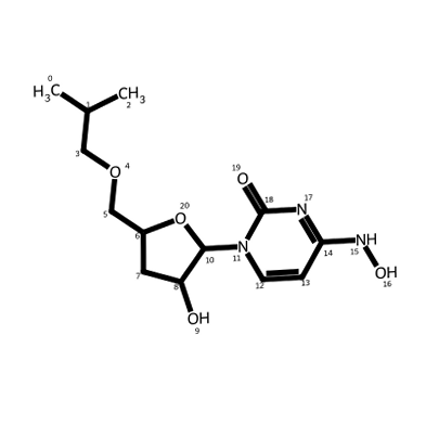 CC(C)COCC1CC(O)C(n2ccc(NO)nc2=O)O1